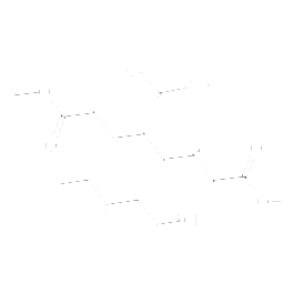 CCCCCCl.COC(=O)CCCCCCC(=O)O.ClCCl